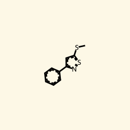 CSc1cc(-c2ccccc2)ns1